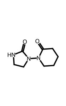 O=C1CCCCN1N1CCNC1=O